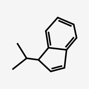 CC(C)C1C=Cc2ccccc21